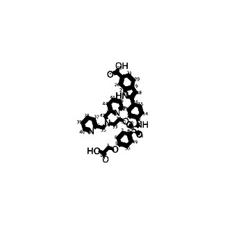 O=C(O)COc1ccc(S(=O)(=O)Nc2ccc(-c3cc4ccc(C(=O)O)cc4[nH]3)cc2OCCN(Cc2ccccn2)Cc2ccccn2)cc1